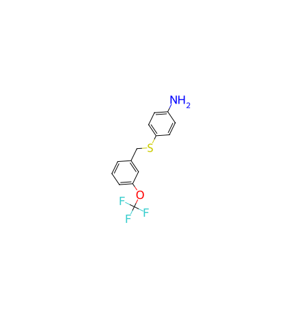 Nc1ccc(SCc2cccc(OC(F)(F)F)c2)cc1